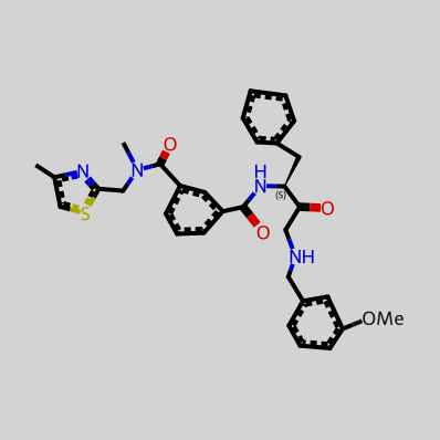 COc1cccc(CNCC(=O)[C@H](Cc2ccccc2)NC(=O)c2cccc(C(=O)N(C)Cc3nc(C)cs3)c2)c1